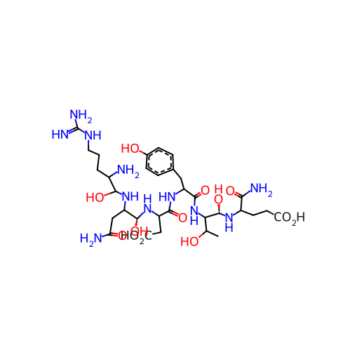 CC(O)C(NC(=O)C(Cc1ccc(O)cc1)NC(=O)C(CC(=O)O)N[C@@H](O)C(CC(N)=O)NC(O)C(N)CCCNC(=N)N)[C@@H](O)NC(CCC(=O)O)C(N)=O